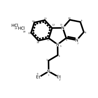 CCN(CC)CCN1C2=NCCCN2c2ccccc21.Cl.Cl